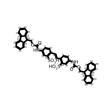 O=C(Nc1ccc(/C=C/c2ccc(NC(=O)OCC3c4ccccc4-c4ccccc43)cc2S(=O)(=O)O)c(S(=O)(=O)O)c1)OCC1c2ccccc2-c2ccccc21